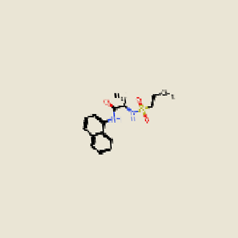 CCCS(=O)(=O)NC(C)C(=O)Nc1cccc2ccccc12